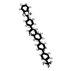 FC(F)(F)c1ccc(-c2ccc(-c3ccc4cc(-c5ccc(-c6nc7ccccc7o6)cc5)cnc4c3)cc2)cc1